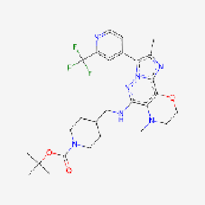 Cc1nc2c3c(c(NCC4CCN(C(=O)OC(C)(C)C)CC4)nn2c1-c1ccnc(C(F)(F)F)c1)N(C)CCO3